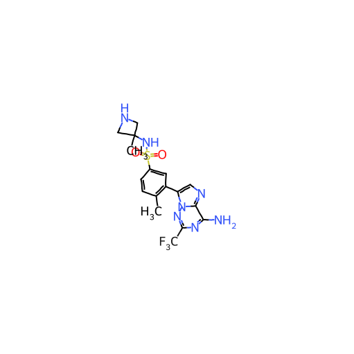 Cc1ccc(S(=O)(=O)NC2(C)CNC2)cc1-c1cnc2c(N)nc(C(F)(F)F)nn12